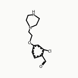 O=Cc1ccc(OCCN2CCNCC2)cc1Cl